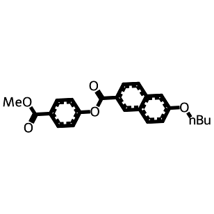 CCCCOc1ccc2cc(C(=O)Oc3ccc(C(=O)OC)cc3)ccc2c1